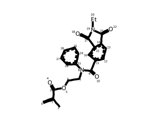 C=C(C)C(=O)OCCN(C(=O)c1ccc2c(c1)C(=O)N(CC)C2=O)c1ccccc1